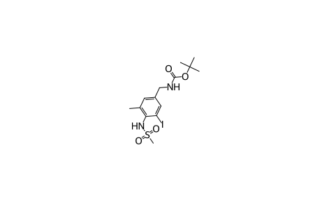 Cc1cc(CNC(=O)OC(C)(C)C)cc(I)c1NS(C)(=O)=O